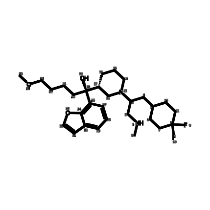 CNCC(CC1CCC(F)(F)CC1)N1CCC[C@@H]([C@@](O)(CCCCOC)c2cccc3ccoc23)C1